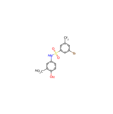 O=C(O)c1cc(NS(=O)(=O)c2cc(Br)cc(C(F)(F)F)c2)ccc1O